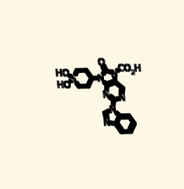 O=C(O)n1c(=O)n(C2CCS(O)(O)CC2)c2nc(-n3cnc4ccccc43)ncc21